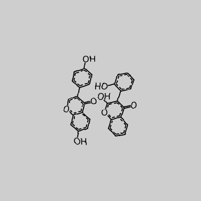 O=c1c(-c2ccc(O)cc2)coc2cc(O)ccc12.O=c1c(-c2ccccc2O)c(O)oc2ccccc12